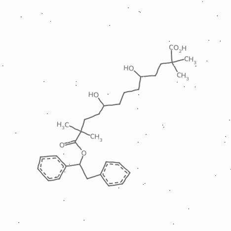 CC(C)(CCC(O)CCCC(O)CCC(C)(C)C(=O)OC(Cc1ccccc1)c1ccccc1)C(=O)O